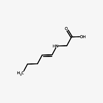 CCCC=CNCC(=O)O